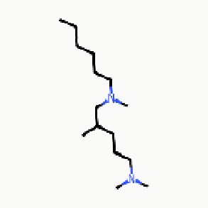 CCCCCCN(C)CC(C)CCCN(C)C